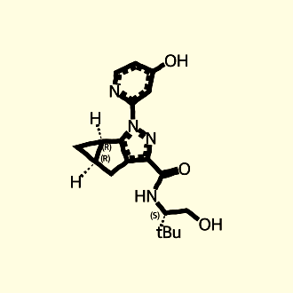 CC(C)(C)[C@@H](CO)NC(=O)c1nn(-c2cc(O)ccn2)c2c1C[C@H]1C[C@@H]21